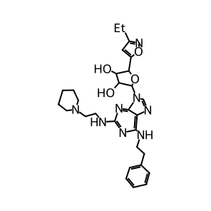 CCc1cc(C2OC(n3cnc4c(NCCc5ccccc5)nc(NCCN5CCCCC5)nc43)C(O)C2O)on1